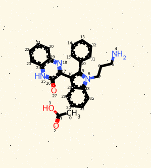 CC(=O)O.NCCCn1c(-c2ccccc2)c(-c2nc3ccccc3[nH]c2=O)c2ccccc21